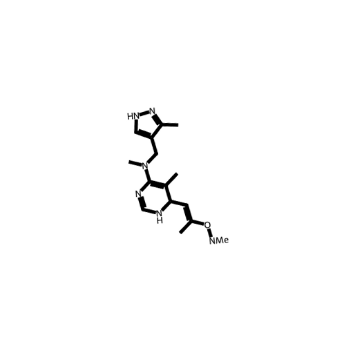 CNO/C(C)=C/C1NC=NC(N(C)Cc2c[nH]nc2C)=C1C